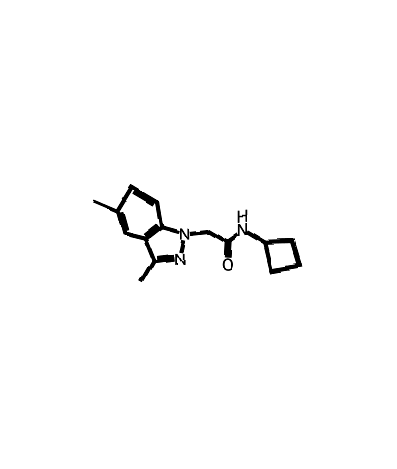 Cc1ccc2c(c1)c(C)nn2CC(=O)NC1CCC1